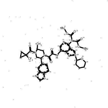 CC1CN(C(=O)C(=O)Nc2cnc(N(C(=O)OC(C)(C)C)C(=O)OC(C)(C)C)c3cn(C4CCCCO4)nc23)C(c2ccc3scnc3c2)CN1C(=O)C1(C(F)(F)F)CC1